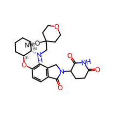 COC1(CN[C@H]2CCCC[C@@H]2Oc2ccc3c(c2)CN(C2CCC(=O)NC2=O)C3=O)CCOCC1